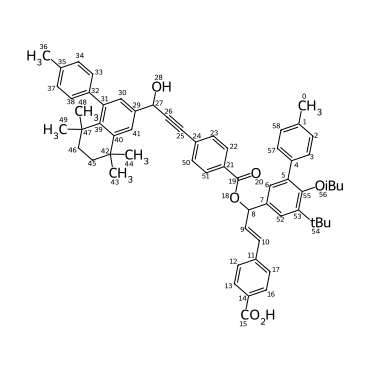 Cc1ccc(-c2cc(C(/C=C/c3ccc(C(=O)O)cc3)OC(=O)c3ccc(C#CC(O)c4cc(-c5ccc(C)cc5)c5c(c4)C(C)(C)CCC5(C)C)cc3)cc(C(C)(C)C)c2OCC(C)C)cc1